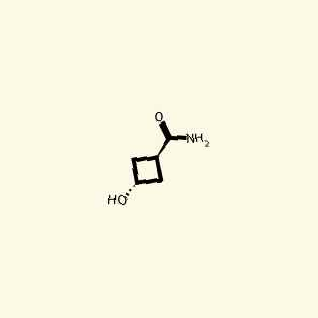 NC(=O)[C@H]1C[C@H](O)C1